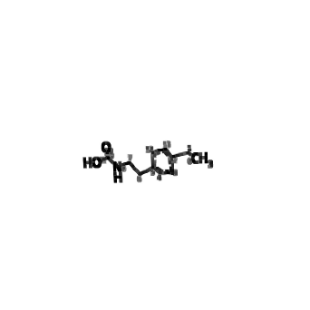 CCc1ccc(CCNC(=O)O)cc1